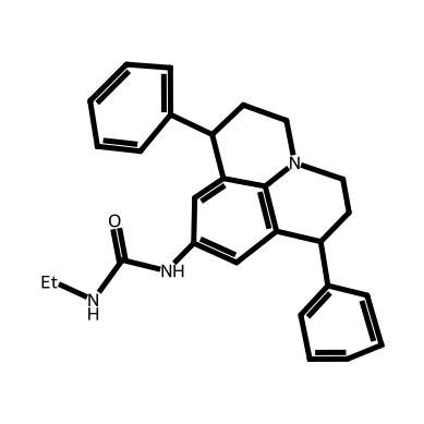 CCNC(=O)Nc1cc2c3c(c1)C(c1ccccc1)CCN3CCC2c1ccccc1